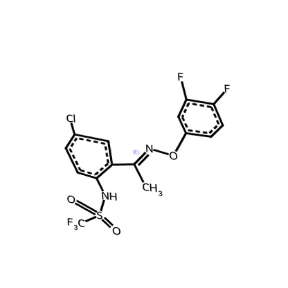 C/C(=N\Oc1ccc(F)c(F)c1)c1cc(Cl)ccc1NS(=O)(=O)C(F)(F)F